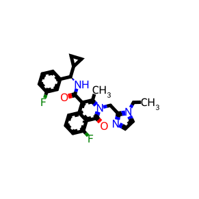 CCn1ccnc1Cn1c(C)c(C(=O)N[C@H](c2cccc(F)c2)C2CC2)c2cccc(F)c2c1=O